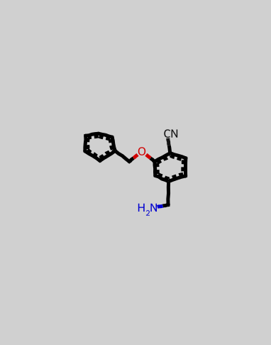 N#Cc1ccc(CN)cc1OCc1ccccc1